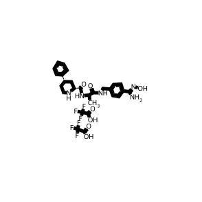 CC(NC(=O)[C@H]1C[C@@H](c2ccccc2)CCN1)C(=O)NCc1ccc(/C(N)=N/O)cc1.O=C(O)C(F)(F)F.O=C(O)C(F)(F)F